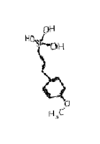 COc1ccc(CCC[Si](O)(O)O)cc1